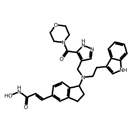 O=C(/C=C/c1ccc2c(c1)CCC2N(CCc1c[nH]c2ccccc12)Cc1cn[nH]c1C(=O)N1CCOCC1)NO